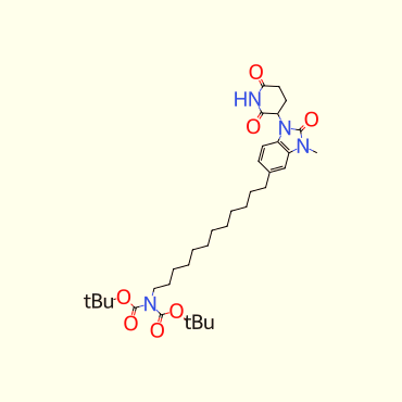 Cn1c(=O)n(C2CCC(=O)NC2=O)c2ccc(CCCCCCCCCCCCN(C(=O)OC(C)(C)C)C(=O)OC(C)(C)C)cc21